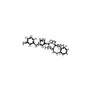 O=C(N[C@H]1CCc2ccccc2NC1=O)c1cn(Cc2cccc(F)c2)cn1